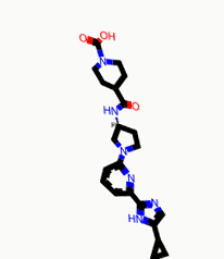 O=C(N[C@@H]1CCN(c2cccc(-c3ncc(C4CC4)[nH]3)n2)C1)C1CCN(C(=O)O)CC1